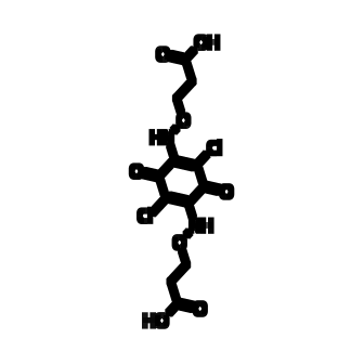 O=C(O)CCONC1=C(Cl)C(=O)C(NOCCC(=O)O)=C(Cl)C1=O